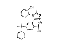 CCCCC(C)(CCC)c1cc2c(cc1-c1n(-c3ccccc3C#N)c(C)n[n+]1C)C(C)(C)c1ccccc1-2